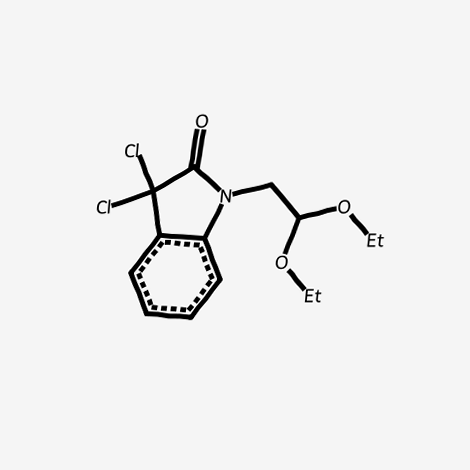 CCOC(CN1C(=O)C(Cl)(Cl)c2ccccc21)OCC